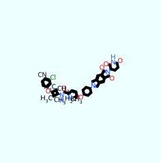 C=C(/C=C\C(=N/C)C(=O)N[C@H]1C(C)(C)[C@H](Oc2ccc(C#N)c(Cl)c2)C1(C)C)O[C@H]1CC[C@H](N2Cc3cc4c(cc3C2)C(=O)N(C2CCC(=O)NC2=O)C4=O)CC1